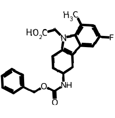 Cc1cc(F)cc2c3c(n(CC(=O)O)c12)CCC(NC(=O)OCc1ccccc1)C3